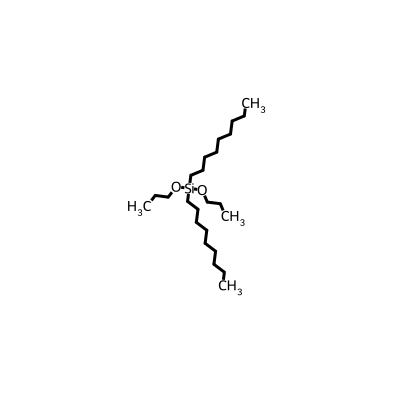 CCCCCCCCC[Si](CCCCCCCCC)(OCCC)OCCC